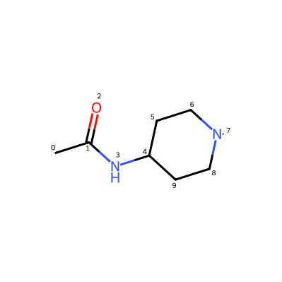 CC(=O)NC1CC[N]CC1